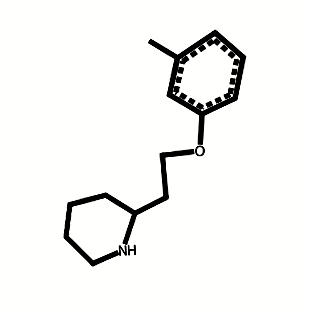 Cc1cccc(OCCC2CCCCN2)c1